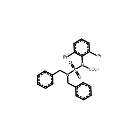 CC(C)c1cccc(C(C)C)c1N(C(=O)O)S(=O)(=O)N(Cc1ccccc1)Cc1ccccc1